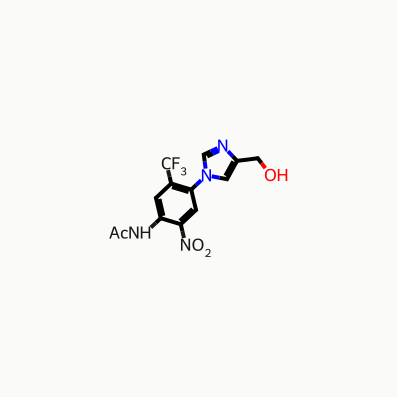 CC(=O)Nc1cc(C(F)(F)F)c(-n2cnc(CO)c2)cc1[N+](=O)[O-]